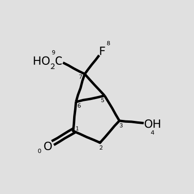 O=C1CC(O)C2C1C2(F)C(=O)O